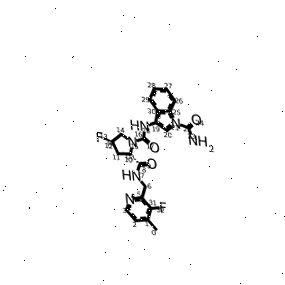 Cc1ccnc(CNC(=O)[C@@H]2C[C@@H](F)CN2C(=O)Nc2cn(C(N)=O)c3ccccc23)c1F